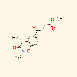 COC(=O)CCC(=O)c1ccc2c(c1)C(C)C(=O)N(C)O2